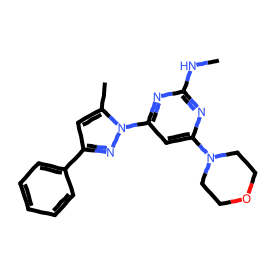 CNc1nc(N2CCOCC2)cc(-n2nc(-c3ccccc3)cc2C)n1